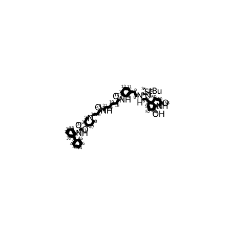 CC(C)(C)[Si](C)(C)OC(CNCCc1cccc(NC(=O)CCCCNC(=O)CCN2CCC(OC(=O)Nc3ccccc3-c3ccccc3)CC2)c1)c1ccc(O)c2[nH]c(=O)ccc12